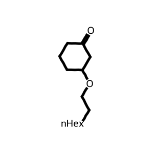 CCCCCCCCOC1CCCC(=O)C1